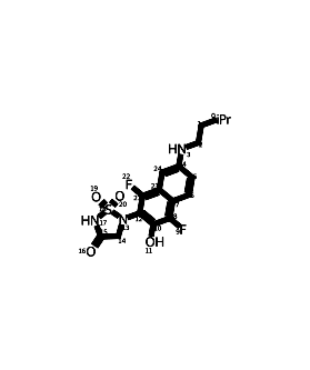 CC(C)CCNc1ccc2c(F)c(O)c(N3CC(=O)NS3(=O)=O)c(F)c2c1